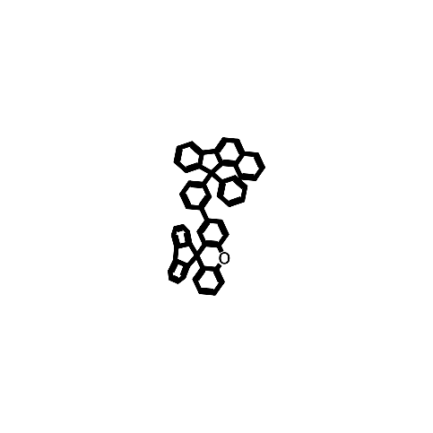 c1ccc(C2(c3cccc(-c4ccc5c(c4)C4(c6ccccc6O5)c5ccccc5-c5ccccc54)c3)c3ccccc3-c3ccc4ccccc4c32)cc1